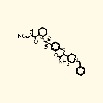 N#CCNC(=O)[C@H]1CCCC[C@@H]1CS(=O)(=O)c1ccc(SC(C(N)=O)C2CCN(Cc3ccccc3)CC2)cc1